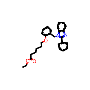 CCOC(=O)CCCCCOc1ccccc1Cn1c(-c2ccccc2)nc2ccccc21